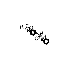 Cc1nc2ccc(NC(=O)NCC3CCCCC3)cc2o1